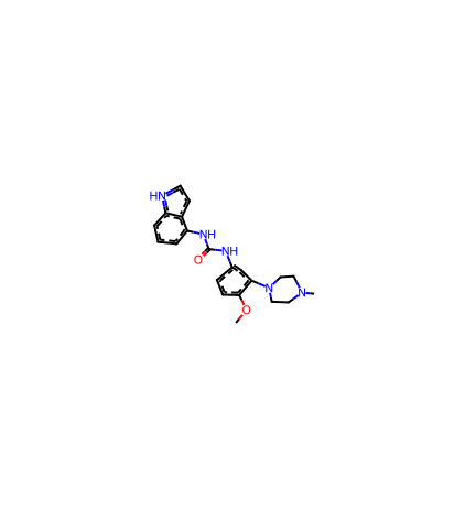 COc1ccc(NC(=O)Nc2cccc3[nH]ccc23)cc1N1CCN(C)CC1